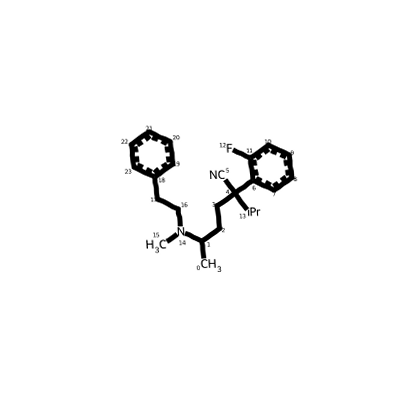 CC(CCC(C#N)(c1ccccc1F)C(C)C)N(C)CCc1ccccc1